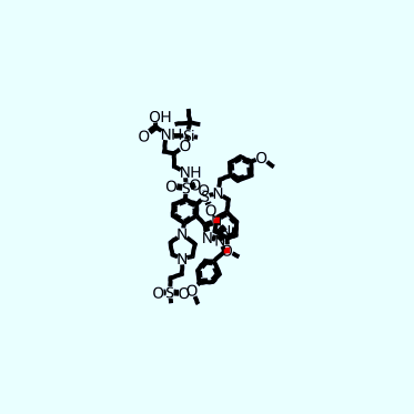 COc1ccc(CN(Cc2ccc(OC)cc2)S(=O)(=O)c2c(S(=O)(=O)NCC(CNC(=O)O)O[Si](C)(C)C(C)(C)C)ccc(N3CCN(CCS(C)(=O)=O)CC3)c2-c2nnn(Cc3ccc(OC)cc3)n2)cc1